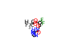 CC(OC(=O)c1cc(F)c(F)c2cc(CNC(=O)c3cnn4cccnc34)oc12)C(F)(F)F